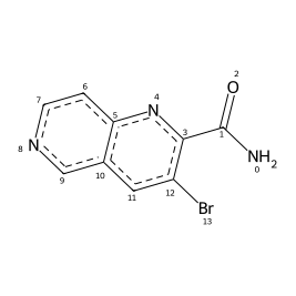 NC(=O)c1nc2ccncc2cc1Br